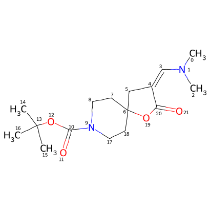 CN(C)C=C1CC2(CCN(C(=O)OC(C)(C)C)CC2)OC1=O